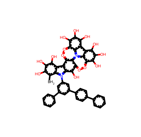 Bc1c(O)c(O)c(O)c2c3c4ooc5c(O)c(O)c(O)c6c7c(O)c(O)c(O)c8ooc(c(O)c3n(-c3cc(-c9ccccc9)cc(-c9ccc(-c%10ccccc%10)cc9)c3)c12)c4n(c87)c56